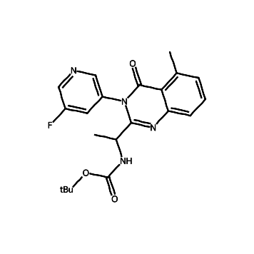 Cc1cccc2nc(C(C)NC(=O)OC(C)(C)C)n(-c3cncc(F)c3)c(=O)c12